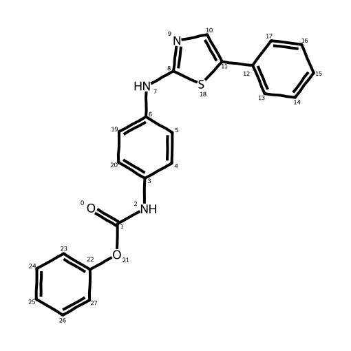 O=C(Nc1ccc(Nc2ncc(-c3ccccc3)s2)cc1)Oc1ccccc1